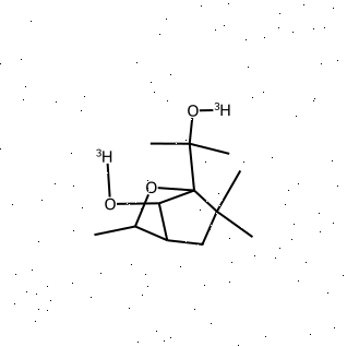 [3H]OC1C2CC(C)(C)C1(C(C)(C)O[3H])OC2C